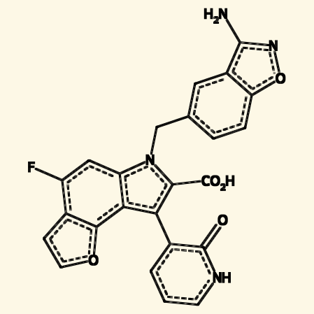 Nc1noc2ccc(Cn3c(C(=O)O)c(-c4ccc[nH]c4=O)c4c5occc5c(F)cc43)cc12